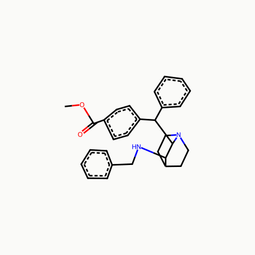 COC(=O)c1ccc(C(c2ccccc2)C2C(NCc3ccccc3)C3CCN2CC3)cc1